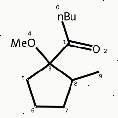 CCCCC(=O)C1(OC)CCCC1C